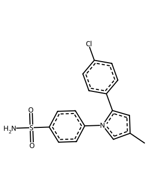 Cc1cc(-c2ccc(Cl)cc2)n(-c2ccc(S(N)(=O)=O)cc2)c1